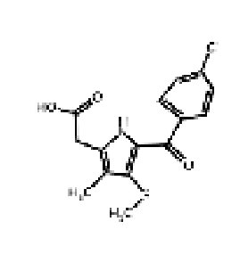 CSc1c(C(=O)c2ccc(Cl)cc2)[nH]c(CC(=O)O)c1C